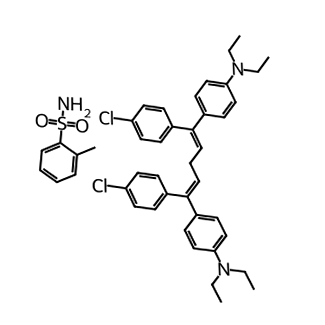 CCN(CC)c1ccc(C(=CCC=C(c2ccc(Cl)cc2)c2ccc(N(CC)CC)cc2)c2ccc(Cl)cc2)cc1.Cc1ccccc1S(N)(=O)=O